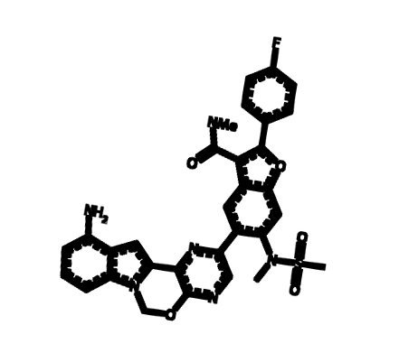 CNC(=O)c1c(-c2ccc(F)cc2)oc2cc(N(C)S(C)(=O)=O)c(-c3cnc4c(n3)-c3cc5c(N)cccc5n3CO4)cc12